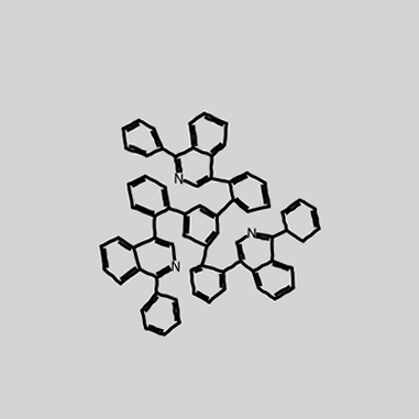 C1=CCC(c2ncc(-c3ccccc3-c3cc(-c4ccccc4-c4cnc(-c5ccccc5)c5ccccc45)cc(-c4ccccc4-c4cnc(-c5ccccc5)c5ccccc45)c3)c3ccccc23)C=C1